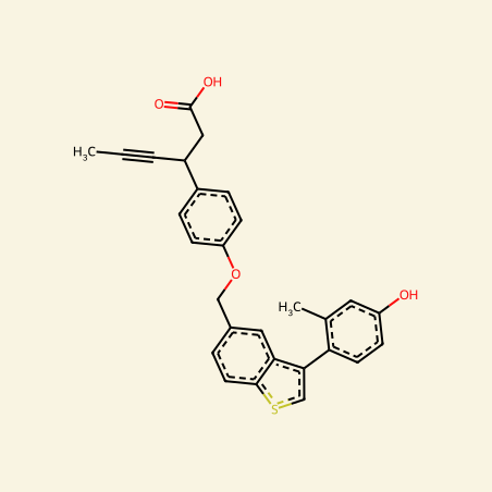 CC#CC(CC(=O)O)c1ccc(OCc2ccc3scc(-c4ccc(O)cc4C)c3c2)cc1